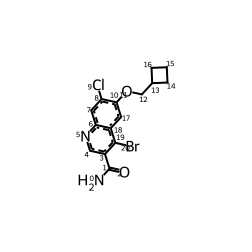 NC(=O)c1cnc2cc(Cl)c(OCC3CCC3)cc2c1Br